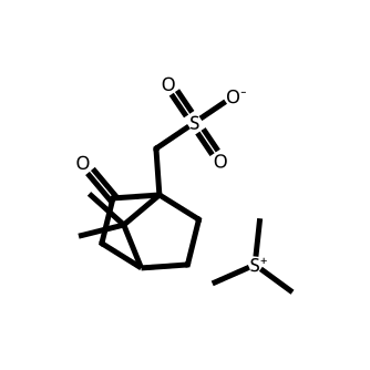 CC1(C)C2CCC1(CS(=O)(=O)[O-])C(=O)C2.C[S+](C)C